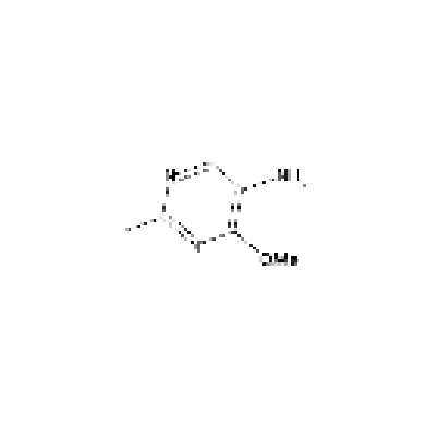 COc1nc(I)ncc1N